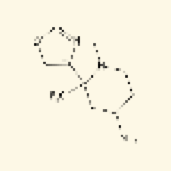 CN1CCC(N)CC1(c1cocn1)C(F)(F)F